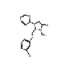 CN1C(=O)CC(c2ccccc2)C1COc1cccc(Cl)c1